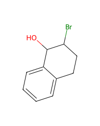 OC1c2ccccc2CCC1Br